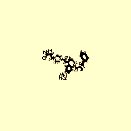 Cc1nc(-c2ccccc2)sc1C(=O)N1CCC(F)(F)C(=CC(=O)N2CCN(CCC(N)=O)CC2)c2ccccc21.Cl.Cl